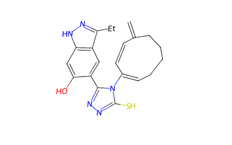 C=C1/C=C\C(n2c(S)nnc2-c2cc3c(CC)n[nH]c3cc2O)=C/CCCC1